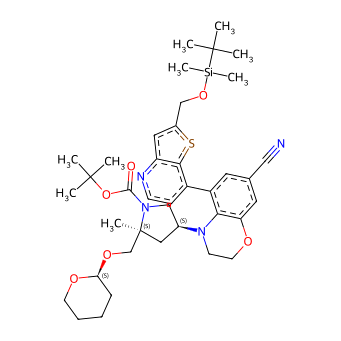 CC(C)(C)OC(=O)N1C[C@@H](N2CCOc3cc(C#N)cc(-c4ccnc5cc(CO[Si](C)(C)C(C)(C)C)sc45)c32)C[C@@]1(C)CO[C@H]1CCCCO1